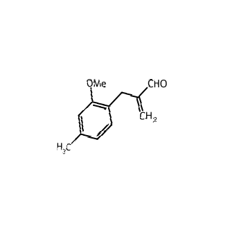 C=C(C=O)Cc1ccc(C)cc1OC